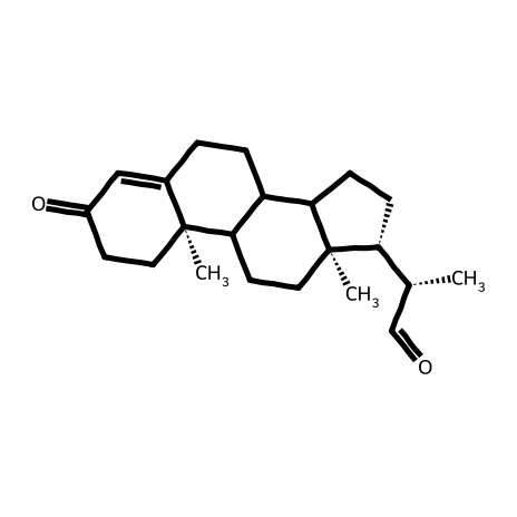 C[C@H](C=O)[C@H]1CCC2C3CCC4=CC(=O)CC[C@]4(C)C3CC[C@@]21C